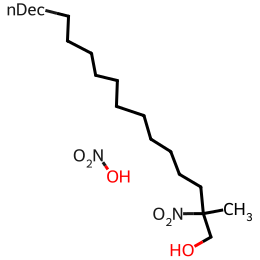 CCCCCCCCCCCCCCCCCCCCCC(C)(CO)[N+](=O)[O-].O=[N+]([O-])O